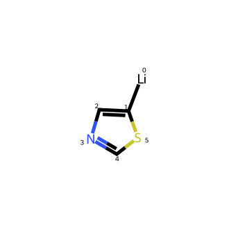 [Li][c]1cncs1